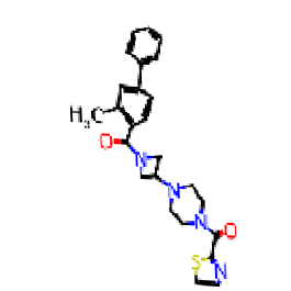 Cc1cc(-c2ccccc2)ccc1C(=O)N1CC(N2CCN(C(=O)c3nccs3)CC2)C1